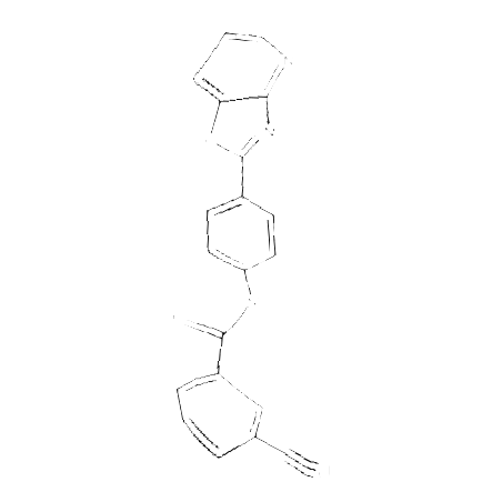 C#Cc1cccc(C(=O)Nc2ccc(-c3nc4ncccc4o3)cc2)c1